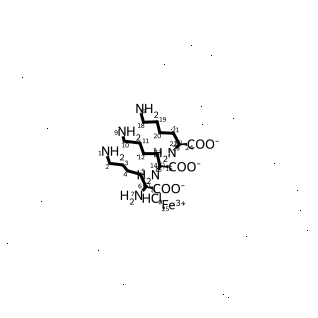 Cl.NCCCC[C@H](N)C(=O)[O-].NCCCC[C@H](N)C(=O)[O-].NCCCC[C@H](N)C(=O)[O-].[Fe+3]